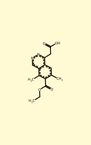 CCOC(=O)c1c(C)cc2c(CC(=O)O)nncc2c1C